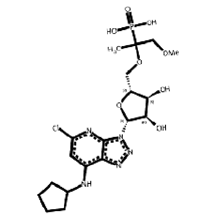 COCC(C)(OC[C@H]1O[C@@H](n2nnc3c(NC4CCCC4)cc(Cl)nc32)[C@H](O)[C@@H]1O)P(=O)(O)O